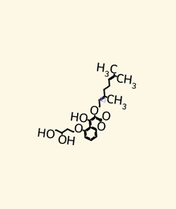 CC(C)=CCC/C(C)=C/COc1c(O)c2c(OCCC(O)CO)cccc2oc1=O